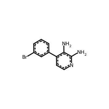 Nc1nccc(-c2cccc(Br)c2)c1N